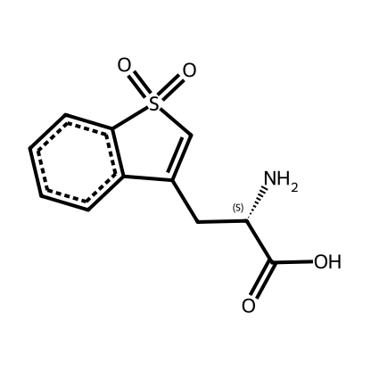 N[C@@H](CC1=CS(=O)(=O)c2ccccc21)C(=O)O